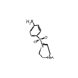 Bc1ccc(S(=O)(=O)N2CCNCC2)cc1